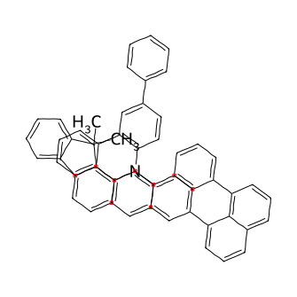 CC1(C)c2ccccc2-c2cccc(N(c3ccc(-c4cccc5cccc(-c6ccccc6)c45)cc3)c3ccc(-c4ccccc4)cc3-c3ccccc3-c3ccccc3)c21